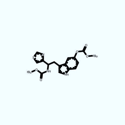 CC(C)(C)OC(=O)NC(Cc1c[nH]c2ccc(OC(=O)OC(C)(C)C)cc12)c1cscn1